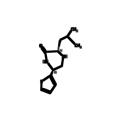 CC(C)C[C@@H]1NC[C@H](c2cccs2)NC1=O